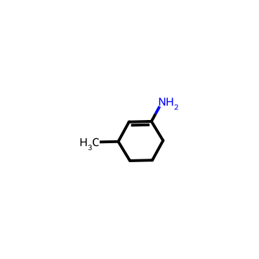 CC1C=C(N)CCC1